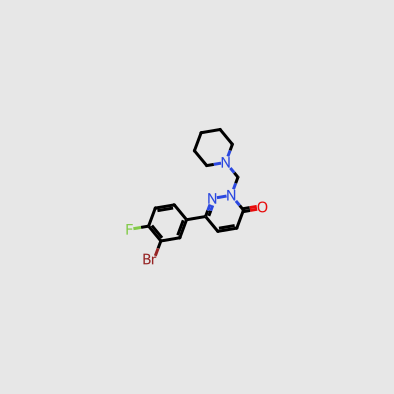 O=c1ccc(-c2ccc(F)c(Br)c2)nn1CN1CCCCC1